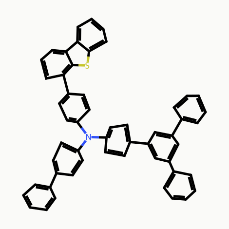 c1ccc(-c2ccc(N(c3ccc(-c4cc(-c5ccccc5)cc(-c5ccccc5)c4)cc3)c3ccc(-c4cccc5c4sc4ccccc45)cc3)cc2)cc1